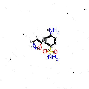 Nc1ccc(S(N)(=O)=O)cc1.c1cnoc1